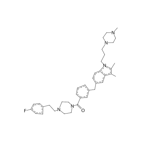 Cc1c(C)n(CCCN2CCN(C)CC2)c2ccc(Cc3cccc(C(=O)N4CCN(CCc5ccc(F)cc5)CC4)c3)cc12